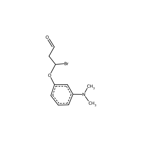 CN(C)c1cccc(OC(Br)CC=O)c1